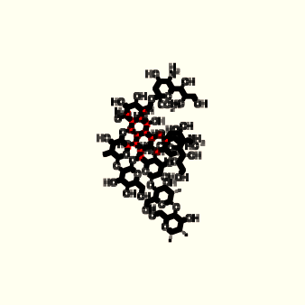 CC1C(O)C(O[C@@H]2OC(CO[C@]3(C(=O)O)C[C@@H](O)[C@@H](N)C([C@H](O)[C@H](O)CO)O3)[C@H](O)C(O)[C@@H]2O)[C@H](CO)O[C@H]1O[C@@H]1C(O)[C@H](O)C(CO)O[C@@H]1OCC1O[C@@H](O[C@@H]2C(CO)O[C@@H](O[C@@H]3C(CO)O[C@@H](C)[C@@H](C)C3O)[C@@H](C)C2O)[C@H](O)C(O[C@H]2O[C@H](CO)[C@@H](O)C(O)C2O[C@@H]2OC(CO)[C@@H](O[C@@H]3OC(CO[C@]4(C(=O)O)C[C@@H](O)[C@@H](N)C([C@H](O)[C@H](O)CO)O4)[C@H](O)C(O)[C@@H]3O)[C@H](O)C2C)[C@@H]1O